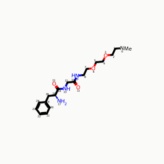 CNCCOCCOCCNC(=O)CNC(=O)[C@@H](N)Cc1ccccc1